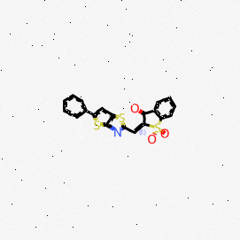 O=C1/C(=C\c2nc3sc(-c4ccccc4)cc3s2)S(=O)(=O)c2ccccc21